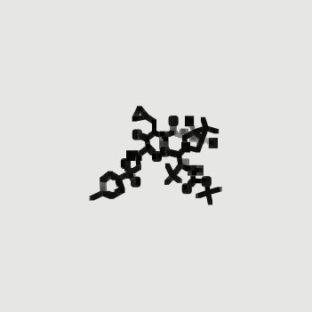 Cc1ccc(S(=O)(=O)CNC(=O)C(=O)C(CC2CC2)NC(=O)[C@@H]2[C@@H]3[C@H](CN2C(=O)[C@@H](NC(=O)OC(C)(C)C)C(C)(C)C)C3(C)C)cc1